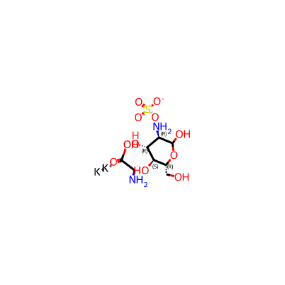 NCC(=O)O.N[C@H]1C(O)O[C@H](CO)[C@@H](O)[C@@H]1O.O=S(=O)([O-])[O-].[K+].[K+]